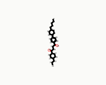 CCCCCC1CCC(c2ccc(C(=O)CCC(=O)C3CCC(CCC)CC3)cc2)CC1